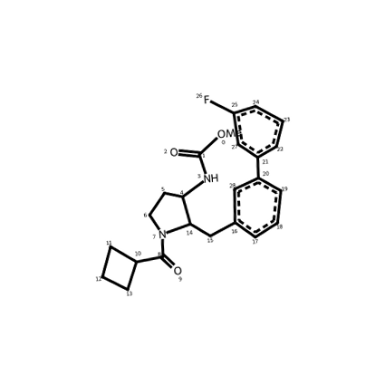 COC(=O)NC1CCN(C(=O)C2CCC2)C1Cc1cccc(-c2cccc(F)c2)c1